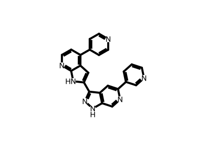 c1cncc(-c2cc3c(-c4cc5c(-c6ccncc6)ccnc5[nH]4)n[nH]c3cn2)c1